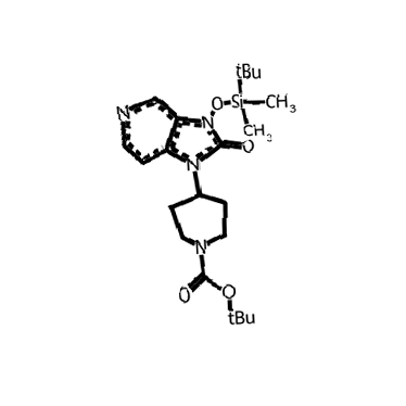 CC(C)(C)OC(=O)N1CCC(n2c(=O)n(O[Si](C)(C)C(C)(C)C)c3cnccc32)CC1